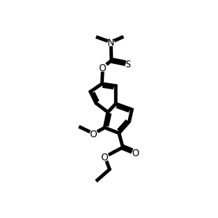 CCOC(=O)c1ccc2cc(OC(=S)N(C)C)ccc2c1OC